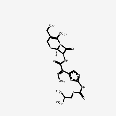 CO/N=C(/C(=O)N[C@@H]1C(=O)N2C(C(=O)O)=C(COC(C)=O)CS[C@H]12)c1csc(NC(=O)SC[C@H](N)C(=O)O)n1